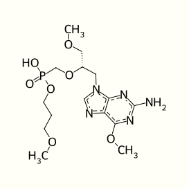 COCCCOP(=O)(O)CO[C@H](COC)Cn1cnc2c(OC)nc(N)nc21